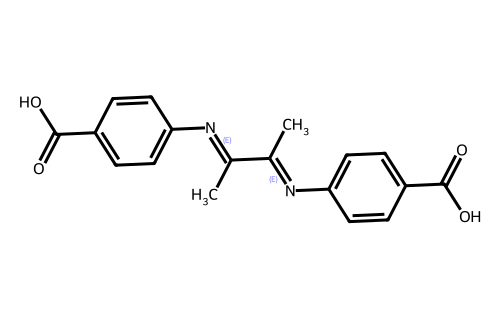 CC(=N\c1ccc(C(=O)O)cc1)/C(C)=N/c1ccc(C(=O)O)cc1